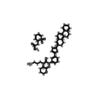 CCCCNC(=O)N(OC1CCCCO1)c1cccc(-c2ccc(C3=Cc4ccc5c(c4CC3)CCc3ccccc3-5)s2)c1.NC(=O)CC1C=CC=CS1(=O)=O